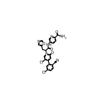 N#Cc1ccc(Cl)cc1-c1cc(=O)n(C(Cc2cnco2)C(=O)Nc2ccc(C(N)=O)nc2)cc1Cl